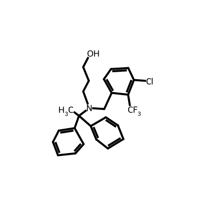 CC(c1ccccc1)(c1ccccc1)N(CCCO)Cc1cccc(Cl)c1C(F)(F)F